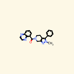 Cn1nc2c(c1-c1ccccc1)CCN(C(=O)c1cccc3nccnc13)C2